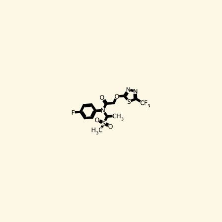 CC(N(C(=O)COc1nnc(C(F)(F)F)s1)c1ccc(F)cc1)S(C)(=O)=O